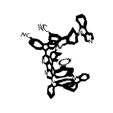 N#Cc1ccc2c(c1)-c1ccccc1C2c1cnc2c(c1)C1(c3ccc(-n4c5ccccc5c5ccccc54)cc3Oc3cc(-n4c5ccc(C#N)cc5c5cc(-n6c7ccccc7c7ccncc76)ccc54)ccc31)c1cc(-n3c4ccccc4c4ccccc43)cnc1-2